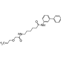 C=CCOCC(=O)NCCCCCC(=O)Nc1cccc(-c2ccccc2)c1